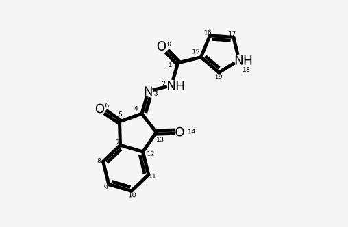 O=C(NN=c1c(=O)c2ccccc2c1=O)c1cc[nH]c1